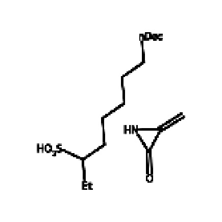 C=C1NC1=O.CCCCCCCCCCCCCCCC(CC)S(=O)(=O)O